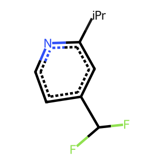 CC(C)c1cc(C(F)F)ccn1